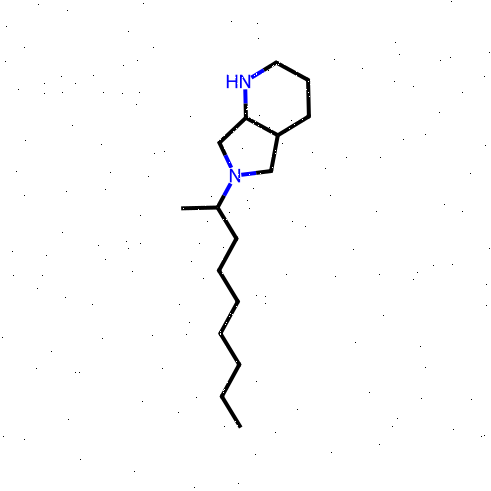 CCCCCCCC(C)N1CC2CCCNC2C1